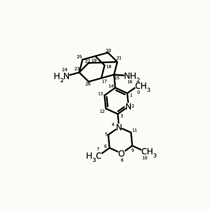 Cc1nc(N2CC(C)OC(C)C2)ccc1C1(N)C2CC3CC1CC(N)(C3)C2